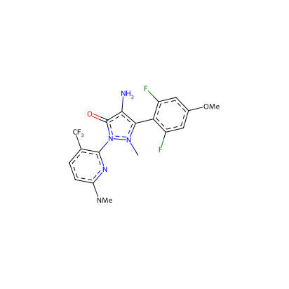 CNc1ccc(C(F)(F)F)c(-n2c(=O)c(N)c(-c3c(F)cc(OC)cc3F)n2C)n1